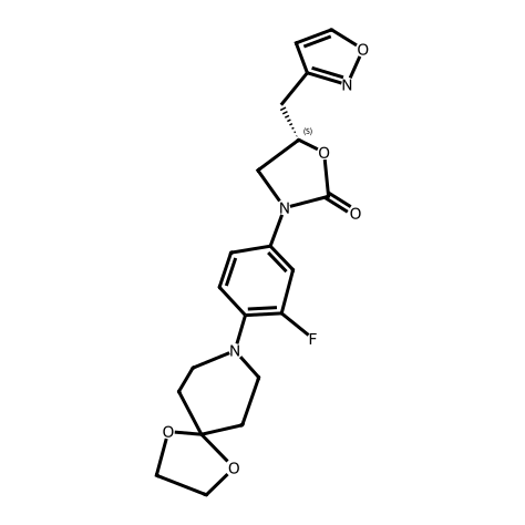 O=C1O[C@@H](Cc2ccon2)CN1c1ccc(N2CCC3(CC2)OCCO3)c(F)c1